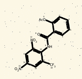 CC(=O)Oc1ccccc1C(=O)Nc1c([N+](=O)[O-])cc([N+](=O)[O-])cc1C(F)(F)F